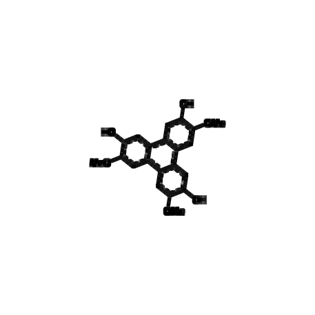 COc1cc2c(cc1O)c1cc(O)c(OC)cc1c1cc(OC)c(O)cc21